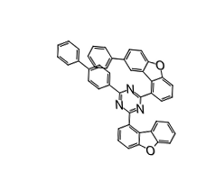 c1ccc(-c2ccc(-c3nc(-c4cccc5oc6ccccc6c45)nc(-c4cccc5oc6ccc(-c7ccccc7)cc6c45)n3)cc2)cc1